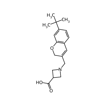 CC(C)(C)c1ccc2c(c1)OCC(CN1CC(C(=O)O)C1)=C2